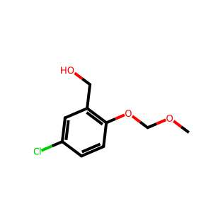 COCOc1ccc(Cl)cc1CO